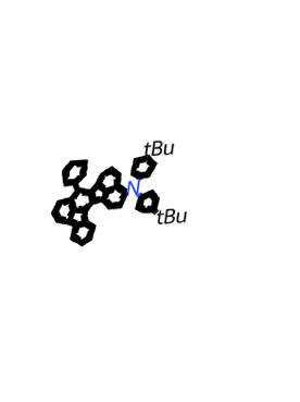 CC(C)(C)c1ccc(N(c2ccc(C(C)(C)C)cc2)c2ccc3c4c2cccc4c2c(-c4ccccc4)c4cccc5c6ccccc6c(c45)c32)cc1